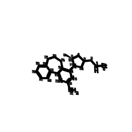 CCNCC1C[C@@H](C)N(c2nc(N)nc3c2CCCc2ccccc2-3)C1